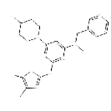 Cc1nc(Nc2nc(N(C)Cc3cccnc3)cc(N3CCC(O)CC3)n2)sc1C(=O)O